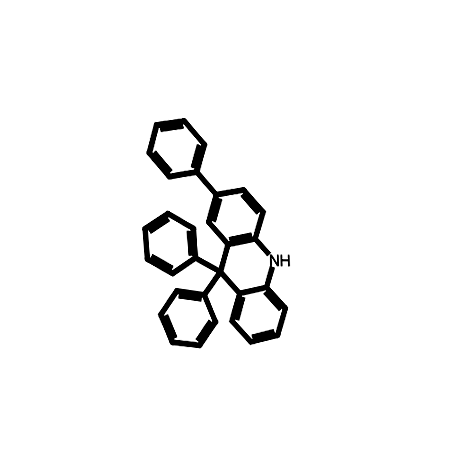 c1ccc(-c2ccc3c(c2)C(c2ccccc2)(c2ccccc2)c2ccccc2N3)cc1